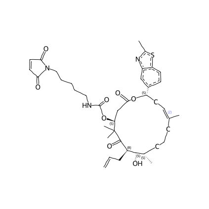 C=CC[C@H]1C(=O)C(C)(C)[C@@H](OC(=O)NCCCCCN2C(=O)C=CC2=O)CC(=O)O[C@H](c2ccc3sc(C)nc3c2)C/C=C(/C)CCC[C@H](C)[C@@H]1O